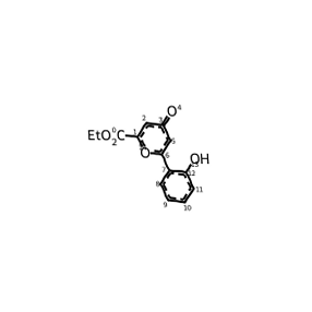 CCOC(=O)c1cc(=O)cc(-c2ccccc2O)o1